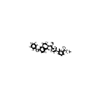 O=C(O)c1cccc(-c2cnc(C(=O)C3CCc4cc(Oc5ccccc5)ccc4C3)o2)n1